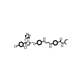 CCC(C)NC(=O)c1ccc(NCCNc2ccc(OC[C@@H]3CO[C@@](Cn4cnnn4)(c4ccc(Cl)cc4Cl)O3)cc2)cc1